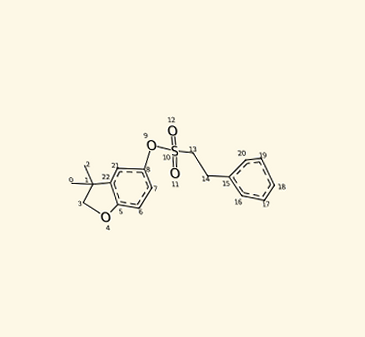 CC1(C)COc2ccc(OS(=O)(=O)CCc3ccccc3)cc21